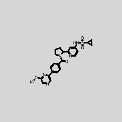 CCOc1cncc(-c2ccc(C(=O)N3CCCC3c3cc(NS(=O)(=O)C4CC4)ccn3)cc2)n1